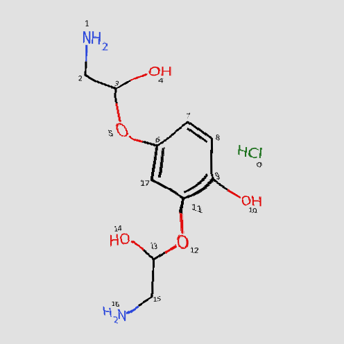 Cl.NCC(O)Oc1ccc(O)c(OC(O)CN)c1